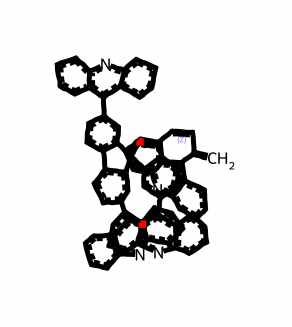 C=C(/C=C\C1=CC2(c3cc(-c4c5ccccc5nc5ccccc45)ccc31)c1cc(-c3c4ccccc4nc4ccccc34)ccc1-c1ccc(-c3c4ccccc4nc4ccccc34)cc12)c1c2ccccc2nc2ccccc12